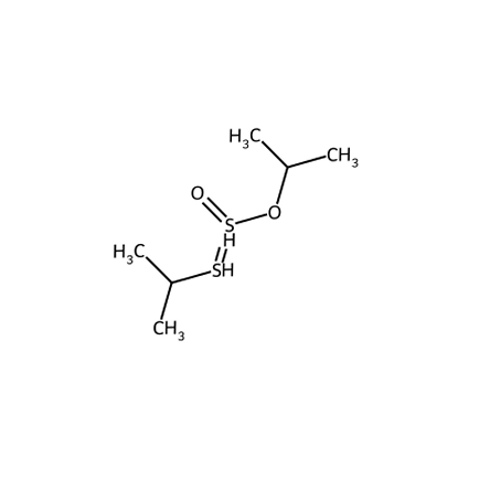 CC(C)O/[SH](=O)=[SH]/C(C)C